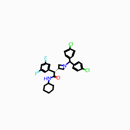 O=C(NC1CCCCC1)[C@H](c1cc(F)cc(F)c1)C1CN(C(c2ccc(Cl)cc2)c2ccc(Cl)cc2)C1